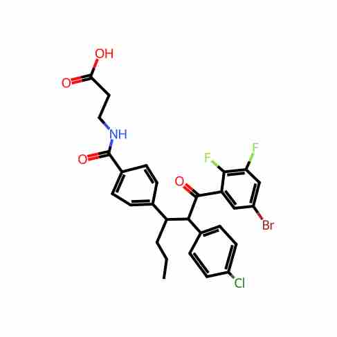 CCCC(c1ccc(C(=O)NCCC(=O)O)cc1)C(C(=O)c1cc(Br)cc(F)c1F)c1ccc(Cl)cc1